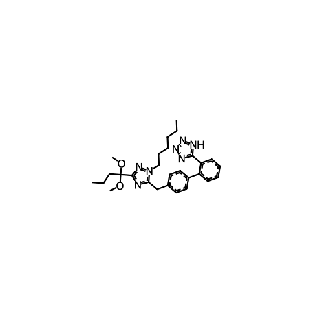 CCCCCCn1nc(C(CCC)(OC)OC)nc1Cc1ccc(-c2ccccc2-c2nnn[nH]2)cc1